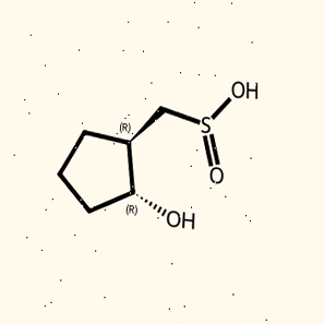 O=S(O)C[C@@H]1CCC[C@H]1O